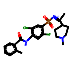 C/C(=N/S(=O)(=O)c1cc(Cl)c(NC(=O)c2ccccc2C)cc1F)C1CCN(C)CC1